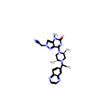 CC(c1ccc2nccnc2c1)N1C[C@H](C)N(c2nc(=O)n(C)c3cn(CC#N)nc23)C[C@H]1C